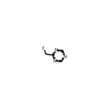 FCc1ncncn1